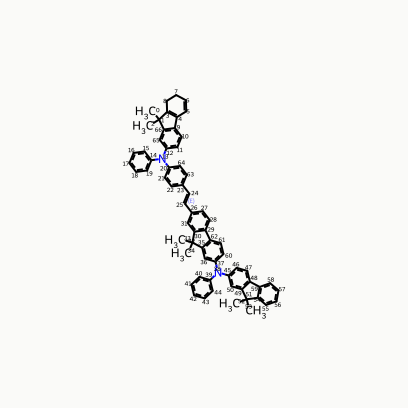 CC1(C)C2=C(C=CCC2)c2ccc(N(c3ccccc3)c3ccc(/C=C/c4ccc5c(c4)C(C)(C)c4cc(N(c6ccccc6)c6ccc7c(c6)C(C)(C)c6ccccc6-7)ccc4-5)cc3)cc21